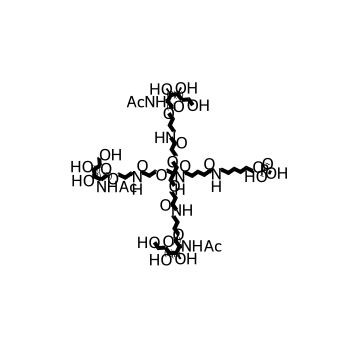 CC(=O)NC1[C@H](OCCCNC(=O)CCOCC(COCCC(=O)NCCCO[C@@H]2OC(CO)[C@H](O)[C@H](O)C2NC(C)=O)(COCCC(=O)NCCCO[C@@H]2OC(CO)[C@H](O)[C@H](O)C2NC(C)=O)NC(=O)CCCC(=O)NCCCCCCOP(=O)(O)O)OC(CO)[C@H](O)[C@@H]1O